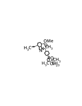 CC#Cc1ccc(C(=O)OC)c2c1cnn2[C@H](C)c1ccc(B2OC(C)(C)C(C)(C)O2)cc1